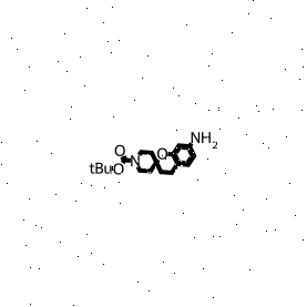 CC(C)(C)OC(=O)N1CCC2(CCc3ccc(N)cc3O2)CC1